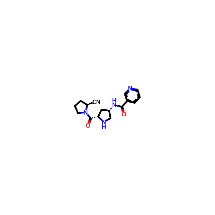 N#C[C@@H]1CCCN1C(=O)[C@@H]1C[C@H](NC(=O)c2cccnc2)CN1